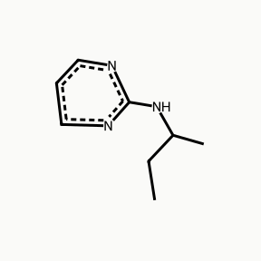 CCC(C)Nc1ncccn1